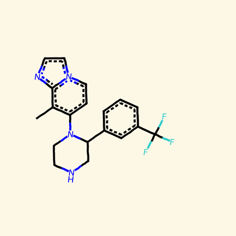 Cc1c(N2CCNCC2c2cccc(C(F)(F)F)c2)ccn2ccnc12